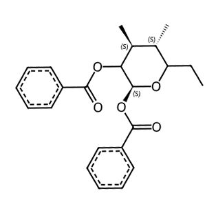 CCC1O[C@@H](OC(=O)c2ccccc2)C(OC(=O)c2ccccc2)[C@@H](C)[C@@H]1C